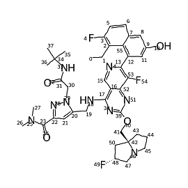 CCc1c(F)ccc2cc(O)cc(-c3ncc4c(NCc5cc(C(=O)N(C)C)nn5CC(=O)NC(C)(C)C)nc(OC[C@@]56CCCN5C[C@H](F)C6)nc4c3F)c12